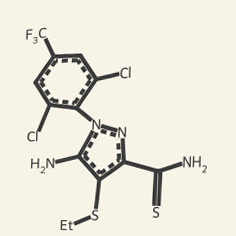 CCSc1c(C(N)=S)nn(-c2c(Cl)cc(C(F)(F)F)cc2Cl)c1N